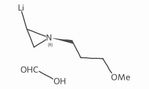 O=CO.[Li][CH]1C[N@]1CCCOC